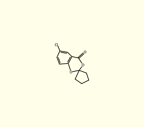 O=C1OC2(CCCC2)Oc2ccc(Cl)cc21